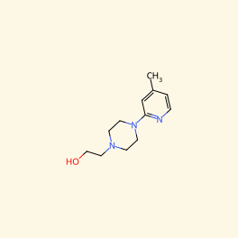 Cc1ccnc(N2CCN(CCO)CC2)c1